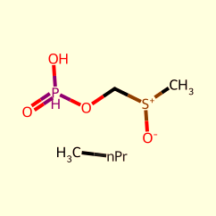 CCCC.C[S+]([O-])CO[PH](=O)O